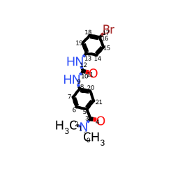 CN(C)C(=O)c1ccc(NC(=O)Nc2ccc(Br)cc2)cc1